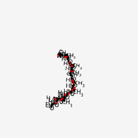 CCC(=O)CCNC(=O)c1cc(NC(=O)c2nc(NC(=O)CCNC(=O)c3cc(NC(=O)c4nc(NC(=O)CCCNC(=O)c5cc(NC(=O)c6nc(NC(=O)CCNC(=O)c7cc(NC(=O)c8nccn8C)cn7C)cn6C)cn5C)cn4C)cn3C)cn2C)cn1C